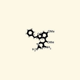 COc1cc(C(OC)c2cnc(N)nc2N)c2cc(Cc3ccccc3)oc2c1